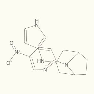 O=[N+]([O-])c1ccc(N2C3CCC2CC(Nc2cc[nH]c2)C3)nc1